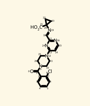 O=C(c1ccccc1Cl)N1CCN(c2ccnc(C=NC3(C(=O)O)CC3)n2)CC1